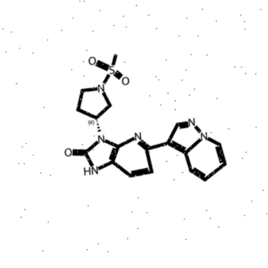 CS(=O)(=O)N1CC[C@@H](n2c(=O)[nH]c3ccc(-c4cnn5ccccc45)nc32)C1